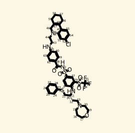 O=C(NS(=O)(=O)c1ccc(N[C@H](CCN2CCCOCC2)CSc2ccccc2)c(S(=O)(=O)C(F)(F)F)c1)c1ccc(NCCNCC2=C(c3ccc(Cl)cc3)CCCC2)cc1